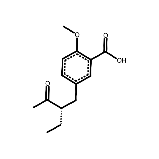 CC[C@@H](Cc1ccc(OC)c(C(=O)O)c1)C(C)=O